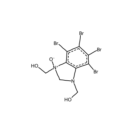 [O-][N+]1(CO)CN(CO)c2c(Br)c(Br)c(Br)c(Br)c21